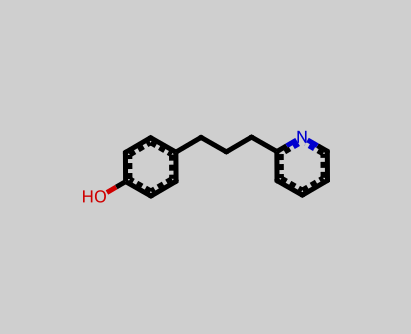 Oc1ccc(CCCc2ccccn2)cc1